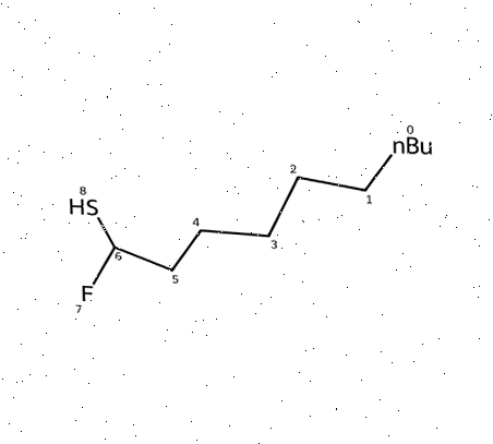 CCCCCCCCCC(F)S